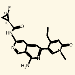 CCc1cc(=O)n(C)cc1-c1cc2cc(NC(=O)[C@H]3C[C@H]3F)ncc2c(N)n1